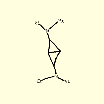 CCN(CC)C1C2C1C2N(CC)CC